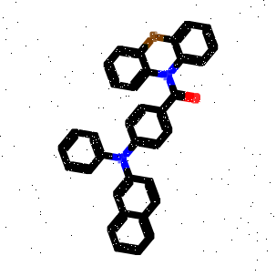 O=C(c1ccc(N(c2ccccc2)c2ccc3ccccc3c2)cc1)N1c2ccccc2Sc2ccccc21